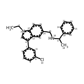 CCn1cc(-c2cccc(Cl)c2)c2cc(CNC(C)c3ccccc3)ccc21